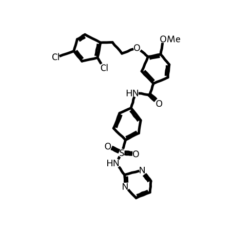 COc1ccc(C(=O)Nc2ccc(S(=O)(=O)Nc3ncccn3)cc2)cc1OCCc1ccc(Cl)cc1Cl